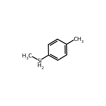 C[SiH2]c1ccc(C)cc1